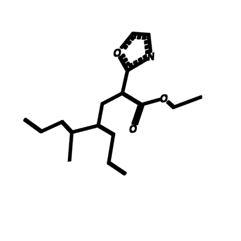 CCCC(C)C(CCC)CC(C(=O)OCC)c1ncco1